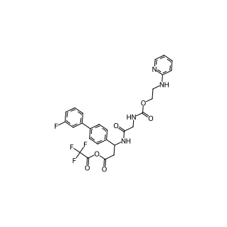 O=C(CNC(=O)OCCNc1ccccn1)NC(CC(=O)OC(=O)C(F)(F)F)c1ccc(-c2cccc(F)c2)cc1